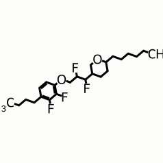 CCCCCCC1CCC(C(F)C(F)COc2ccc(CCCC)c(F)c2F)CO1